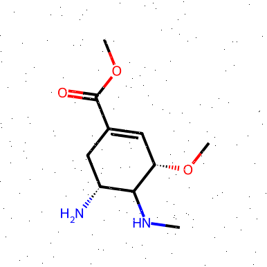 CNC1[C@H](N)CC(C(=O)OC)=C[C@@H]1OC